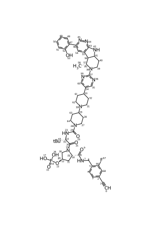 C#Cc1ccc(CNC(=O)[C@@H]2C[C@@H](OP(=O)(O)O)CN2C(=O)[C@@H](NC(=O)N2CCC(N3CCC(c4cnc(N5CCC6Nc7nnc(-c8ccccc8O)cc7C6[C@H]5C)nc4)CC3)CC2)C(C)(C)C)c(F)c1